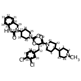 CN1CCC(C2CCN(C(=O)[C@@H](Cc3ccc(Cl)c(Cl)c3)OC(=O)N3CCC(N4Cc5ccccc5NC4=O)CC3)CC2)CC1